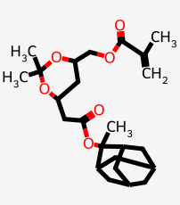 C=C(C)C(=O)OCC1CC(CC(=O)OC2(C)C3CC4CC(C3)CC2C4)OC(C)(C)O1